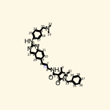 Cc1c(C(=O)NC/C=C/c2ccc3nc(Nc4ccc(CN(C)C)cc4)ncc3c2)c(=O)n(Cc2ccccc2)n1C